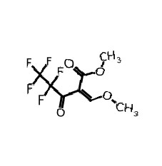 CO/C=C(\C(=O)OC)C(=O)C(F)(F)C(F)(F)F